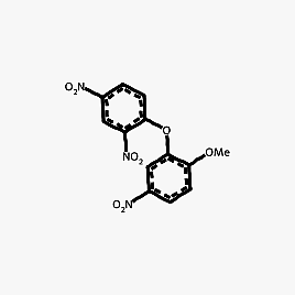 COc1ccc([N+](=O)[O-])cc1Oc1ccc([N+](=O)[O-])cc1[N+](=O)[O-]